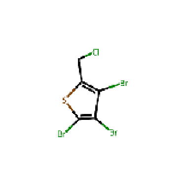 ClCc1sc(Br)c(Br)c1Br